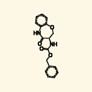 O=C(NC1COc2ccccc2NC1=O)OCc1ccccc1